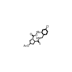 CC(=O)OC1CC(C(=S)NCc2ccc(Cl)cc2)N(C(=O)OC(C)(C)C)C1